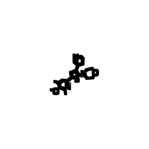 COc1c(C)cc(-c2cc(-c3cccnc3)c(N3CCOCC3)s2)nc1C